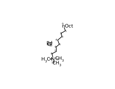 CCCCCCCCCCCCCCCC[N+](C)(C)C.[Cl-].[Pd]